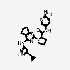 Nc1ccc(NC(=O)C2CCCN2c2nc3c(c(Nc4cc(C5CC5)[nH]n4)n2)CCC3)cn1